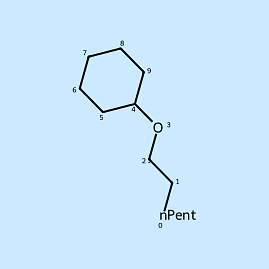 CCCCCC[CH]OC1CCCCC1